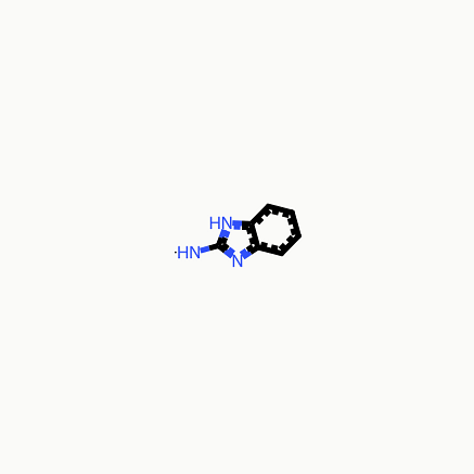 [NH]c1nc2ccccc2[nH]1